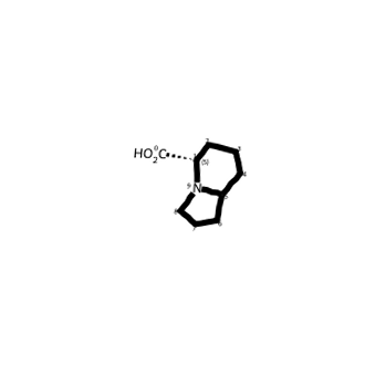 O=C(O)[C@@H]1CCCC2CCCN21